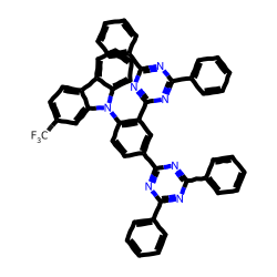 FC(F)(F)c1ccc2c3ccccc3n(-c3ccc(-c4nc(-c5ccccc5)nc(-c5ccccc5)n4)cc3-c3nc(-c4ccccc4)nc(-c4ccccc4)n3)c2c1